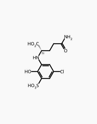 NC(=O)CC[C@H](Nc1cc(Cl)cc(S(=O)(=O)O)c1O)C(=O)O